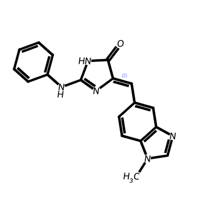 Cn1cnc2cc(/C=C3\N=C(Nc4ccccc4)NC3=O)ccc21